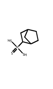 S=P(S)(S)C1CC2CCC1C2